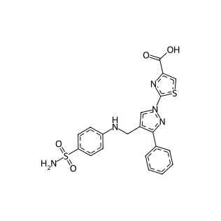 NS(=O)(=O)c1ccc(NCc2cn(-c3nc(C(=O)O)cs3)nc2-c2ccccc2)cc1